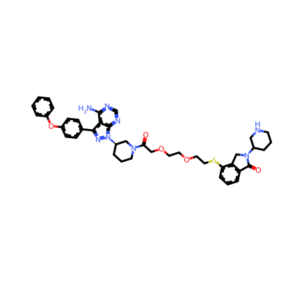 Nc1ncnc2c1c(-c1ccc(Oc3ccccc3)cc1)nn2[C@@H]1CCCN(C(=O)COCCOCCSc2cccc3c2CN(C2CCCNC2)C3=O)C1